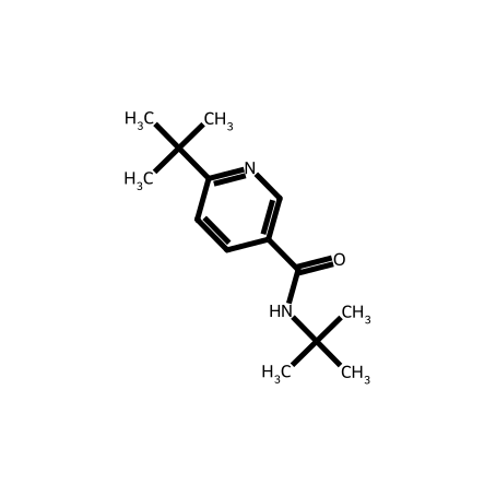 CC(C)(C)NC(=O)c1ccc(C(C)(C)C)nc1